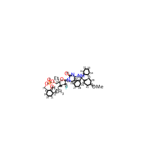 CC[C@]1(COP2(=O)OCc3cccc(C)c3O2)O[C@@H](n2ccc(NC(c3ccccc3)(c3ccccc3)c3ccc(OC)cc3)nc2=O)[C@H](F)[C@@H]1C